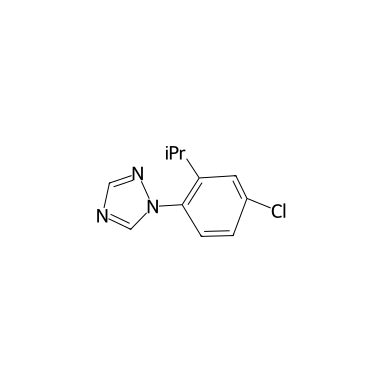 CC(C)c1cc(Cl)ccc1-n1cncn1